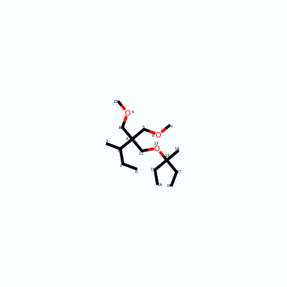 CCC(C)C(COC)(COC)COC(C)(CC)CC